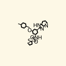 Cc1ccc(COc2cc(NS(=O)(=O)c3cccs3)cc(-c3nc4ncccc4[nH]3)c2)cc1